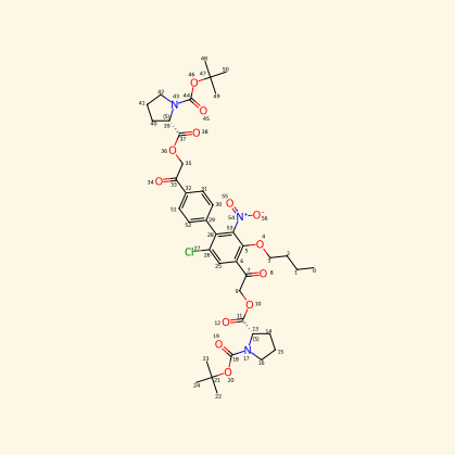 CCCCOc1c(C(=O)COC(=O)[C@@H]2CCCN2C(=O)OC(C)(C)C)cc(Cl)c(-c2ccc(C(=O)COC(=O)[C@@H]3CCCN3C(=O)OC(C)(C)C)cc2)c1[N+](=O)[O-]